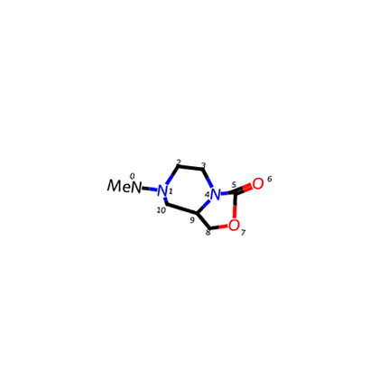 CNN1CCN2C(=O)OCC2C1